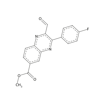 COC(=O)c1ccc2nc(C=O)c(-c3ccc(F)cc3)nc2c1